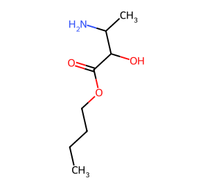 CCCCOC(=O)C(O)C(C)N